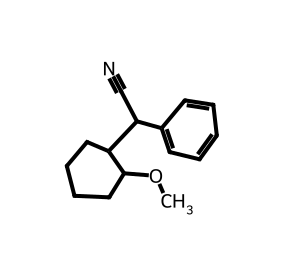 COC1CCCCC1C(C#N)c1ccccc1